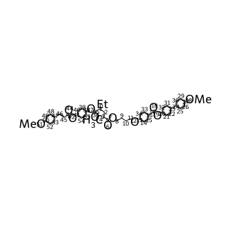 CCC(CC(C)C(=O)OCCCCOc1ccc(C(=O)Oc2ccc(-c3ccc(OC)cc3)cc2)cc1)C(=O)Oc1ccc(OC(=O)/C=C/c2ccc(OC)cc2)cc1